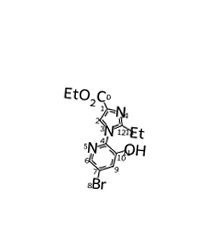 CCOC(=O)c1cn(-c2ncc(Br)cc2O)c(CC)n1